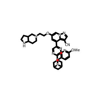 COc1ccc(CN2C3CC2CN(c2cnc(-c4cc(OCCN5CCC6NCCC6C5)cn5ncc(C#N)c45)cn2)C3)cn1